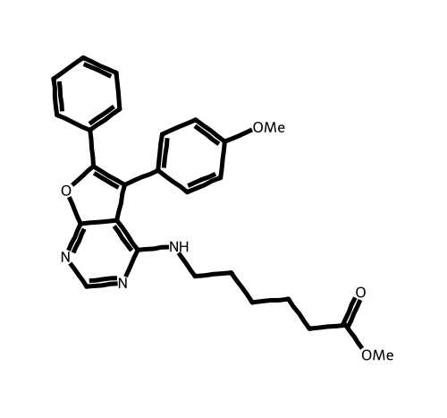 COC(=O)CCCCCNc1ncnc2oc(-c3ccccc3)c(-c3ccc(OC)cc3)c12